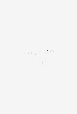 CC1(C)C(=O)NC(=O)N1C[C@H]1CN(S(=O)(=O)c2cccs2)CCN1c1ccc([C@](C)(O)C(F)(F)F)cc1